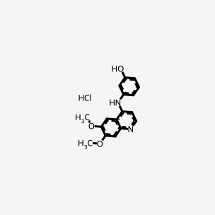 COc1cc2nccc(Nc3cccc(O)c3)c2cc1OC.Cl